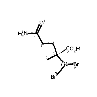 C[C@](CCC(N)=O)(C(=O)O)N(Br)Br